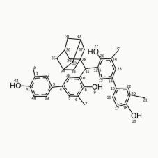 Cc1cc(-c2cc(C)c(O)c(C(c3cc(-c4ccc(O)c(C)c4)cc(C)c3O)C34CC5CC(CC(C5)C3)C4)c2)ccc1O